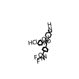 Cl.O=S(=O)(N1CCC2(CC1)CNC2)N(Cc1ccc(-c2nnc(C(F)F)o2)cc1)c1ccccc1